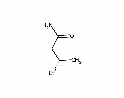 CC[C@@H](C)[CH]C(N)=O